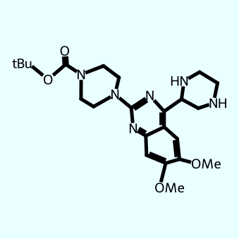 COc1cc2nc(N3CCN(C(=O)OC(C)(C)C)CC3)nc(C3CNCCN3)c2cc1OC